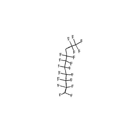 F[C](F)C(F)(F)C(F)(F)C(F)(F)C(F)(F)C(F)(F)C(F)(F)CC(F)(F)C(F)(F)F